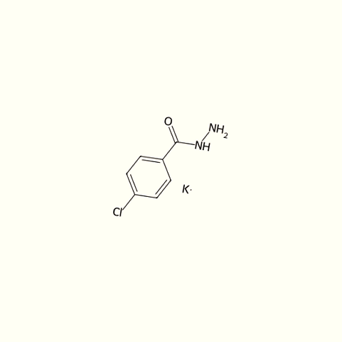 NNC(=O)c1ccc(Cl)cc1.[K]